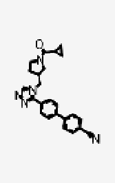 N#Cc1ccc(-c2ccc(-c3nncn3C[C@H]3CCN(C(=O)C4CC4)C3)cc2)cc1